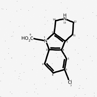 O=C(O)n1c2c(c3cc(Cl)ccc31)CCNC2